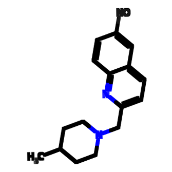 CC1CCN(Cc2ccc3cc(N=O)ccc3n2)CC1